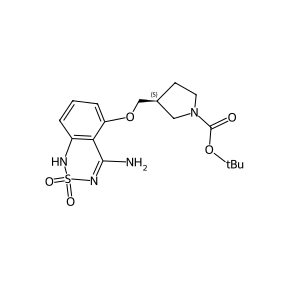 CC(C)(C)OC(=O)N1CC[C@H](COc2cccc3c2C(N)=NS(=O)(=O)N3)C1